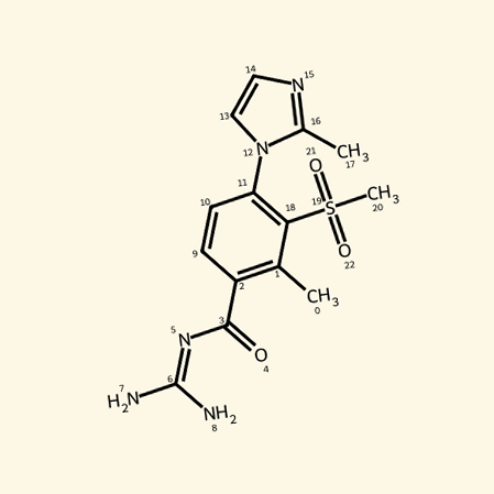 Cc1c(C(=O)N=C(N)N)ccc(-n2ccnc2C)c1S(C)(=O)=O